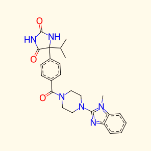 CC(C)C1(c2ccc(C(=O)N3CCN(c4nc5ccccc5n4C)CC3)cc2)NC(=O)NC1=O